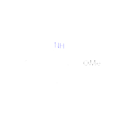 COC1CCC=CN1